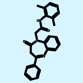 Cc1cccc(C)c1NC(=O)CN1C(=O)CC(c2ccccc2)=Nc2ccccc21